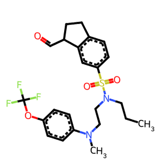 CCCN(CCN(C)c1ccc(OC(F)(F)F)cc1)S(=O)(=O)c1ccc2c(c1)C(C=O)CC2